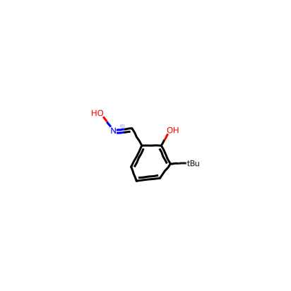 CC(C)(C)c1cccc(/C=N/O)c1O